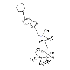 CC1(C)CO[C@H](CNC(=O)/C(C#N)=C/c2ccc3cc(N4CCCCC4)ccc3c2)C(O)(O)[C@@H]1O